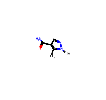 CC(C)(C)n1ncc(C(N)=O)c1C(F)(F)F